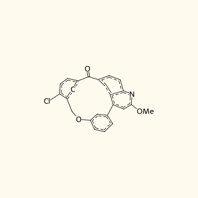 COc1cc2c3cc(ccc3n1)C(=O)c1ccc(Cl)c(c1)COc1cccc-2c1